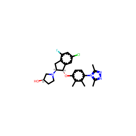 Cc1c(O[C@H]2c3cc(Cl)cc(F)c3C[C@@H]2N2CC[C@@H](O)C2)ccc(-n2c(C)nnc2C)c1C